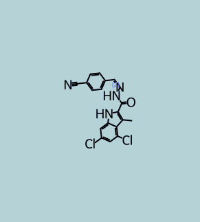 Cc1c(C(=O)N/N=C\c2ccc(C#N)cc2)[nH]c2cc(Cl)cc(Cl)c12